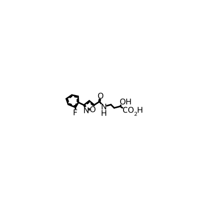 O=C(NCCC(O)C(=O)O)c1cc(-c2ccccc2F)no1